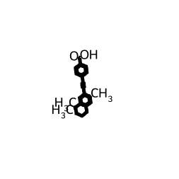 Cc1cc2c(cc1C#Cc1ccc(C(=O)O)cc1)C(C)(C)CCC2